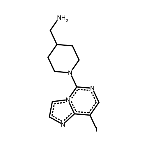 NCC1CCN(c2ncc(I)c3nccn23)CC1